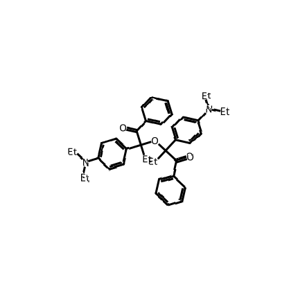 CCN(CC)c1ccc(C(CC)(OC(CC)(C(=O)c2ccccc2)c2ccc(N(CC)CC)cc2)C(=O)c2ccccc2)cc1